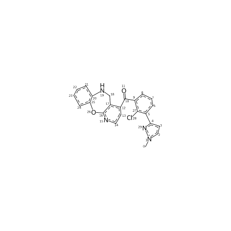 Cn1ccc(-c2cccc(C(=O)c3ccnc4c3CNc3ccccc3O4)c2Cl)n1